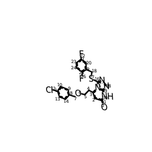 O=c1cc(CCOCc2ccc(Cl)cc2)n2c(SCc3cc(F)ccc3F)nnc2[nH]1